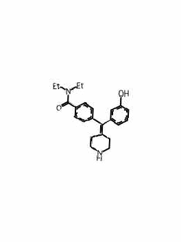 CCN(CC)C(=O)c1ccc(C(=C2CCNCC2)c2cccc(O)c2)cc1